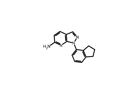 Nc1ccc2cnn(-c3cccc4c3CCC4)c2n1